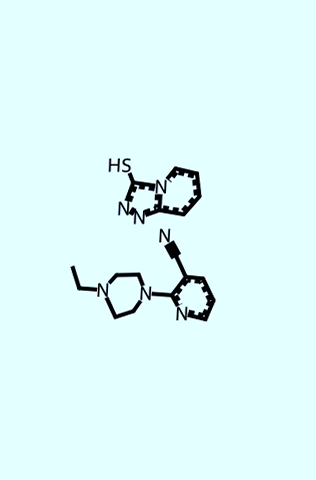 CCN1CCN(c2ncccc2C#N)CC1.Sc1nnc2ccccn12